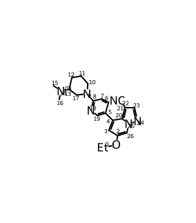 CCOc1cc(-c2ccc(N3CCC[C@H](N(C)C)C3)nc2)c2c(C#N)cnn2c1